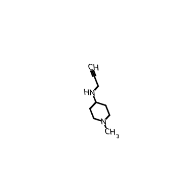 C#CCNC1CCN(C)CC1